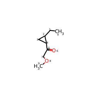 CCC1CC1C(=O)COC